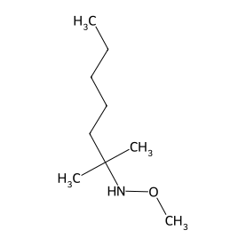 CCCCCC(C)(C)NOC